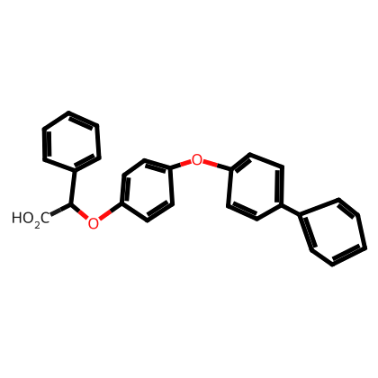 O=C(O)C(Oc1ccc(Oc2ccc(-c3ccccc3)cc2)cc1)c1ccccc1